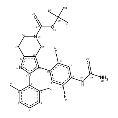 Cc1cccc(C)c1-n1nc2c(c1-c1cc(F)c(NC(N)=O)cc1F)CN(C(=O)OC(C)(C)C)CC2